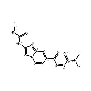 CCNC(=O)Nc1cn2ccc(-c3cnc(N(C)C)nc3)cc2n1